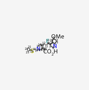 COc1ccc2nccc([C@H](F)CC[C@@H]3CCN(CCSC4CCC4)C[C@@H]3CC(=O)O)c2c1